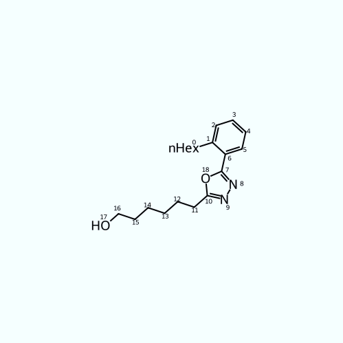 CCCCCCc1ccccc1-c1nnc(CCCCCCO)o1